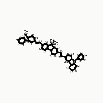 CCn1c2ccccc2c2cc(/C=C/c3ccc4c(c3)C(CC)(CC)C3C=C(/C=C/C5=CC6C7=C(C=CCC7)N(c7ccccc7)C6C=C5)C=CC43)ccc21